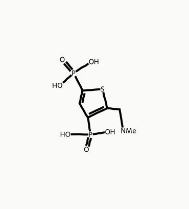 CNCc1sc(P(=O)(O)O)cc1P(=O)(O)O